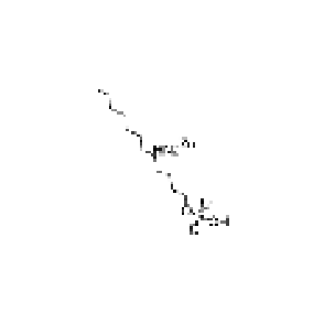 CCCCCCCCCCCCOS(=O)(=O)O.[NaH].[Zn]